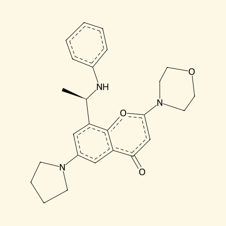 C[C@@H](Nc1ccccc1)c1cc(N2CCCC2)cc2c(=O)cc(N3CCOCC3)oc12